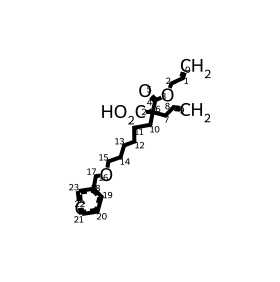 C=CCOC(=O)C(CC=C)(CCCCCCOCc1ccccc1)C(=O)O